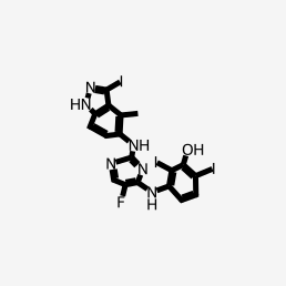 Cc1c(Nc2ncc(F)c(Nc3ccc(I)c(O)c3I)n2)ccc2[nH]nc(I)c12